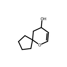 OC1C=COC2(CCCC2)C1